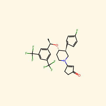 C[C@@H](O[C@H]1CCN(C2=CC(=O)CC2)C[C@@H]1c1ccc(F)cc1)c1cc(C(F)(F)F)cc(C(F)(F)F)c1